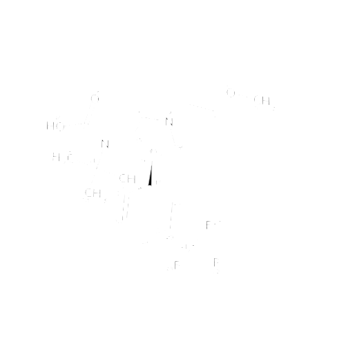 COCCN1C[C@@H](N(C(=O)O)C(C)(C)C)[C@H](c2cccc(C(F)(F)F)c2)C1